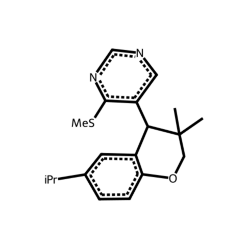 CSc1ncncc1C1c2cc(C(C)C)ccc2OCC1(C)C